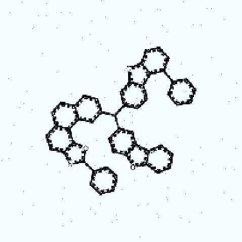 c1ccc(-c2nc3ccc4ccc5ccc(C(c6ccc7c(c6)oc6cccc(-c8ccccc8)c67)c6ccc7oc8ccccc8c7c6)cc5c4c3o2)cc1